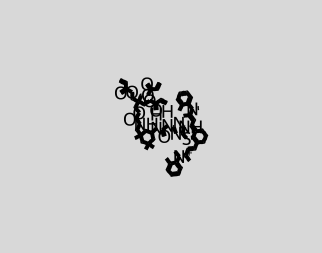 C=CC(=O)OCC(COC(=O)C=C)(COC(=O)C=C)COC(=O)NCC1(C)CC(NC(=O)Nc2n[nH]c(SC3=C(/C=C/C(C)=[N+](\C)c4ccccc4C)CCC/C3=C\C=C(/C)N(C)c3ccccc3C)n2)CC(C)(C)C1